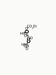 CCOC(=O)COc1ccc(C(=O)CN2C=C3C=C(c4nc(=O)o[nH]4)C=CC3C2=O)c(O)c1